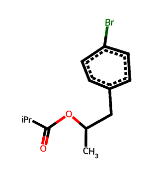 CC(Cc1ccc(Br)cc1)OC(=O)C(C)C